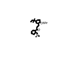 C=CC(C)(C)c1ccc(OC)c(C=CC(=O)c2ccccc2CN(C)C)c1